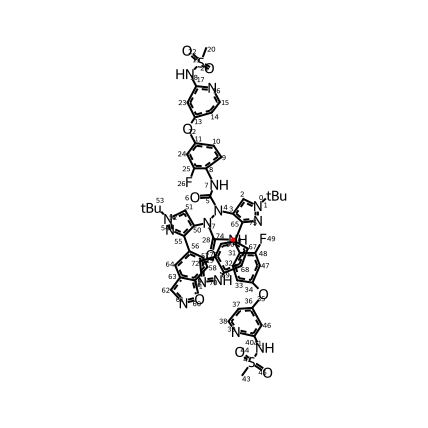 CC(C)(C)n1cc(N(C(=O)Nc2ccc(Oc3ccnc(NS(C)(=O)=O)c3)cc2F)N(C(=O)Nc2ccc(Oc3ccnc(NS(C)(=O)=O)c3)cc2F)c2cn(C(C)(C)C)nc2-c2ccc3oncc3c2)c(-c2ccc3[nH]ncc3c2)n1